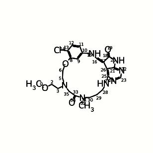 COCCN1CCOc2cc(ccc2Cl)N/C=C2\C(=O)Nc3ncnc(c32)NCCCN(C)C(=O)C1